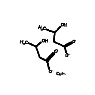 CC(O)CC(=O)[O-].CC(O)CC(=O)[O-].[Cu+2]